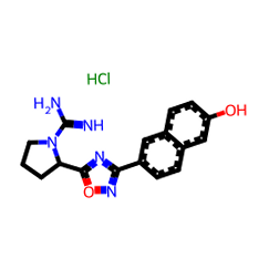 Cl.N=C(N)N1CCCC1c1nc(-c2ccc3cc(O)ccc3c2)no1